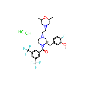 COc1cc(C[C@@H]2CN(CCN3CC(C)OC(C)C3)CCN2C(=O)c2cc(C(F)(F)F)cc(C(F)(F)F)c2)ccc1F.Cl.Cl